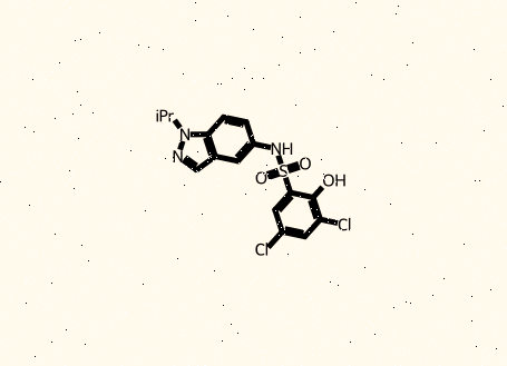 CC(C)n1ncc2cc(NS(=O)(=O)c3cc(Cl)cc(Cl)c3O)ccc21